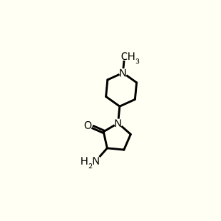 CN1CCC(N2CCC(N)C2=O)CC1